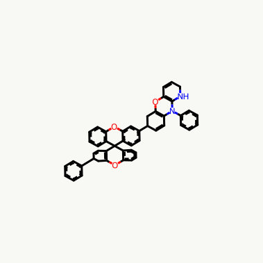 C1=CC2=C(NC1)N(c1ccccc1)C1=C(CC(c3ccc4c(c3)Oc3ccccc3C43C4=C(CC(c5ccccc5)C=C4)Oc4ccccc43)C=C1)O2